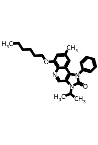 CCCCCCOc1cc(C)cc2c1ncc1c2n(-c2ccccc2)c(=O)n1C(C)C